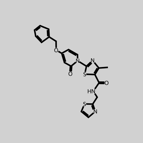 Cc1nc(-n2ccc(OCc3ccccc3)cc2=O)sc1C(=O)NCc1nccs1